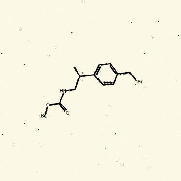 CC(C)Cc1ccc([C@H](C)CNC(=O)OC(C)(C)C)cc1